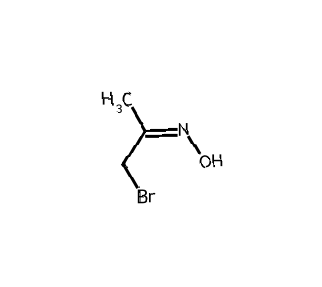 CC(CBr)=NO